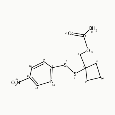 BC(=O)OCC1(SSc2ccc([N+](=O)[O-])cn2)CCC1